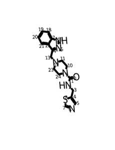 O=C(NCc1cncs1)N1CCN(Cc2n[nH]c3ccccc23)CC1